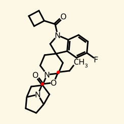 CCCOC(=O)N1C2CCC1CC(N1CCC3(CC1)CN(C(=O)C1CCC1)c1ccc(F)cc13)C2